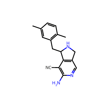 Cc1ccc(C)c(CC2NCc3cnc(N)c(C#N)c32)c1